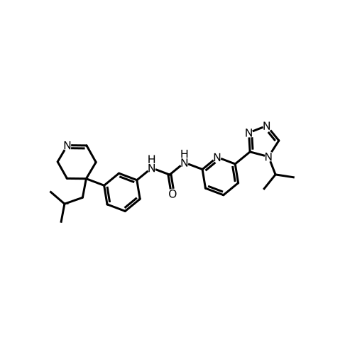 C[C](C)CC1(c2cccc(NC(=O)Nc3cccc(-c4nncn4C(C)C)n3)c2)CC=NCC1